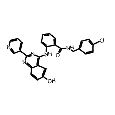 O=C(NCc1ccc(Cl)cc1)c1ccccc1Nc1nc(-c2cccnc2)nc2ccc(O)cc12